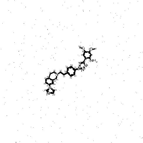 COc1cc(N)c(-c2nnn(-c3ccc(CCN4CCc5ccc(-n6ccnc6)cc5C4)cc3)n2)cc1OC